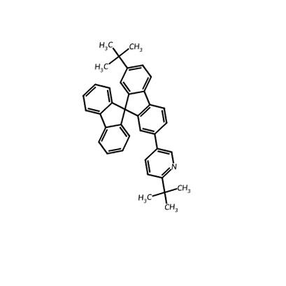 CC(C)(C)c1ccc2c(c1)C1(c3ccccc3-c3ccccc31)c1cc(-c3ccc(C(C)(C)C)nc3)ccc1-2